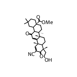 COC(=O)[C@]12CCC(C)(C)CC1C1C(=O)C=C3[C@@]4(C)C=C(C#N)C(=O)[C@@](C)(CCO)C4CC[C@@]3(C)[C@]1(C)CC2